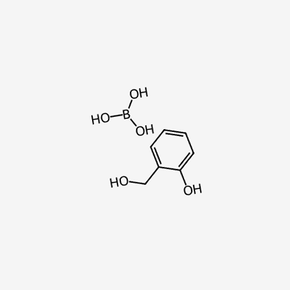 OB(O)O.OCc1ccccc1O